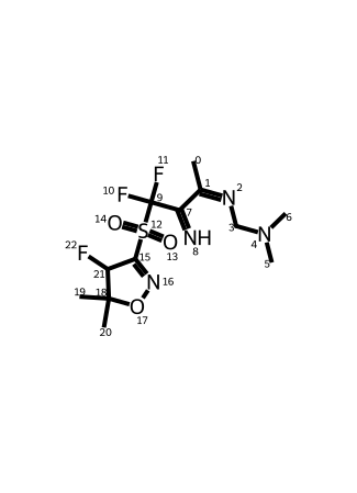 C/C(=N/CN(C)C)C(=N)C(F)(F)S(=O)(=O)C1=NOC(C)(C)C1F